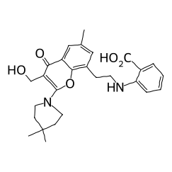 Cc1cc(CCNc2ccccc2C(=O)O)c2oc(N3CCC(C)(C)CC3)c(CO)c(=O)c2c1